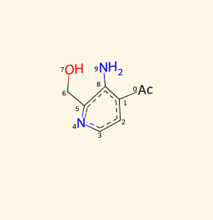 CC(=O)c1ccnc(CO)c1N